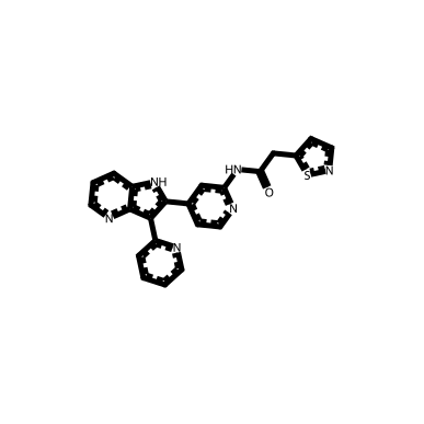 O=C(Cc1ccns1)Nc1cc(-c2[nH]c3cccnc3c2-c2ccccn2)ccn1